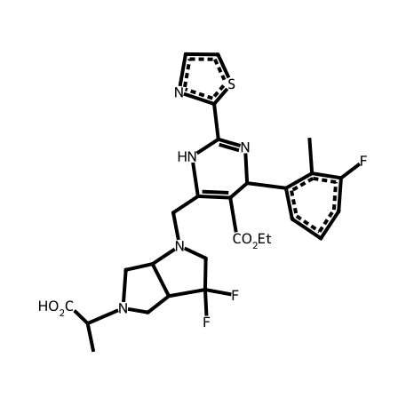 CCOC(=O)C1=C(CN2CC(F)(F)C3CN(C(C)C(=O)O)CC32)NC(c2nccs2)=NC1c1cccc(F)c1C